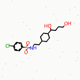 O=S(=O)(NCCC1CCC(C(O)CCCO)CC1)c1ccc(Cl)cc1